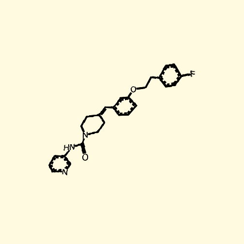 O=C(Nc1cccnc1)N1CCC(=Cc2cccc(OCCc3ccc(F)cc3)c2)CC1